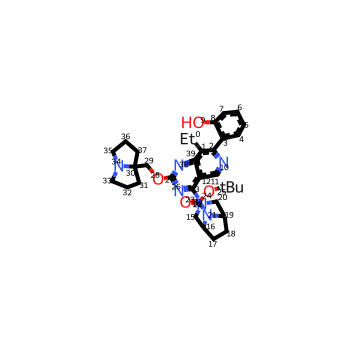 CCc1c(-c2ccccc2O)ncc2c(N3CC4CCC(C3)N4C(=O)OC(C)(C)C)nc(OCC34CCCN3CCC4)nc12